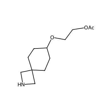 CC(=O)OCCOC1CCC2(CC1)CNC2